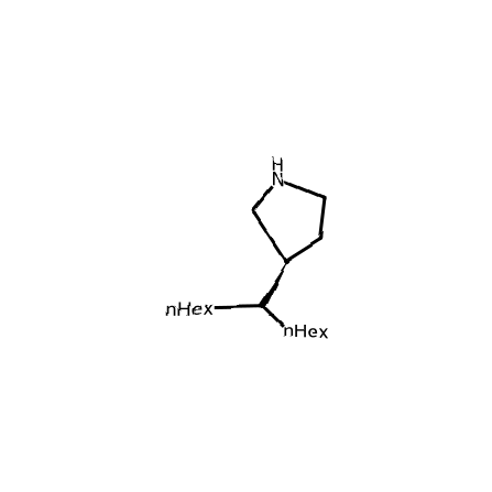 CCCCCCC(CCCCCC)[C@@H]1CCNC1